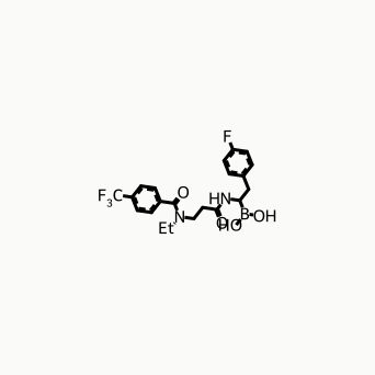 CCN(CCC(=O)NC(Cc1ccc(F)cc1)B(O)O)C(=O)c1ccc(C(F)(F)F)cc1